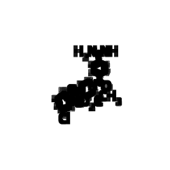 CC(=O)O.N=C(N)c1ccc(C(=O)N2CCN(S(=O)(=O)c3cccc(Cl)c3)CC2)cc1